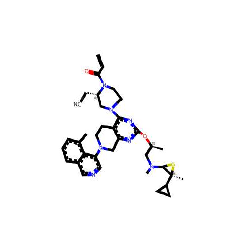 C=CC(=O)N1CCN(c2nc(O[C@@H](C)CN(C)C3S[C@@]3(C)C3CC3)nc3c2CCN(c2cncc4cccc(C)c24)C3)C[C@@H]1CC#N